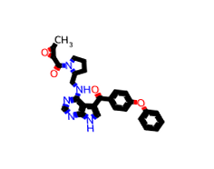 CC1OC1C(=O)N1CCCC1CNc1ncnc2[nH]cc(C(=O)c3ccc(Oc4ccccc4)cc3)c12